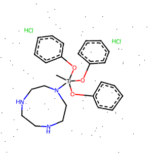 Cl.Cl.[CH3][Ti]([O]c1ccccc1)([O]c1ccccc1)([O]c1ccccc1)[N]1CCNCCNCC1